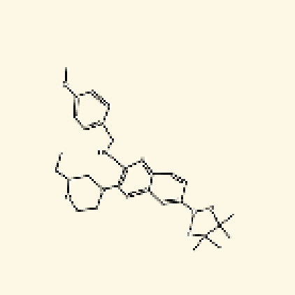 CCC1CN(c2cc3cc(B4OC(C)(C)C(C)(C)O4)ccc3nc2NCc2ccc(OC)cc2)CCO1